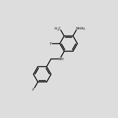 CC(=O)Nc1ccc(NCc2ccc(F)cc2)c(F)c1C